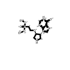 CCOP(=O)(CCO[C@@H]1CNC[C@H]1n1cnc2c(=O)[nH]cnc21)OCC